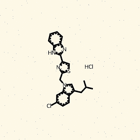 CC(C)Cc1cn(Cc2nc(-c3nc4ccccc4[nH]3)cs2)c2cc(Cl)ccc12.Cl